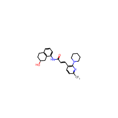 O=C(/C=C/c1ccc(C(F)(F)F)nc1N1CCCCC1)Nc1cccc2c1C[C@@H](O)CC2